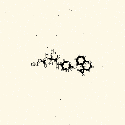 CC[C@@](C)(NC(=O)OC(C)(C)C)C(=O)Nc1cnc(Oc2cccc3c2C2(CCO3)CC2)nc1